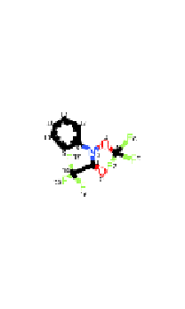 O=C(N(OC(F)(F)F)c1ccccc1)C(F)(F)F